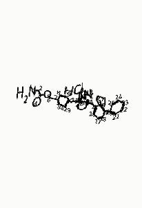 Cl.NCC(=O)OCc1ccc(-c2nnc(-c3cccc(-c4ccccc4)c3Cl)o2)cc1